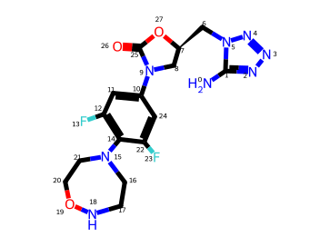 Nc1nnnn1C[C@H]1CN(c2cc(F)c(N3CCNOCC3)c(F)c2)C(=O)O1